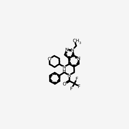 CCn1ncc2c(NC3CCOCC3)c(CN(Cc3ccccc3)C(=O)C(F)(F)F)cnc21